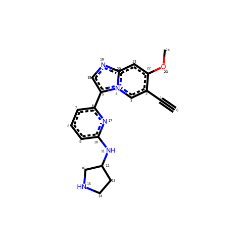 C#Cc1cn2c(-c3cccc(NC4CCNC4)n3)cnc2cc1OC